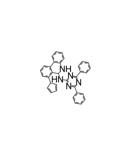 C1=CC(c2cccc3c2C(Nc2nc(-c4ccccc4)nc(-c4ccccc4)n2)Nc2ccccc2-3)C=C1